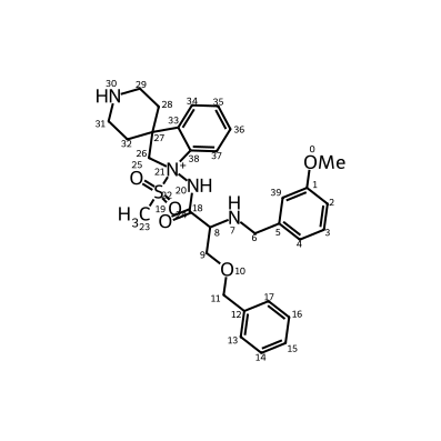 COc1cccc(CNC(COCc2ccccc2)C(=O)N[N+]2(S(C)(=O)=O)CC3(CCNCC3)c3ccccc32)c1